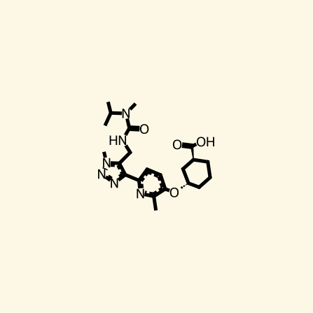 Cc1nc(-c2nnn(C)c2CNC(=O)N(C)C(C)C)ccc1O[C@H]1CCC[C@H](C(=O)O)C1